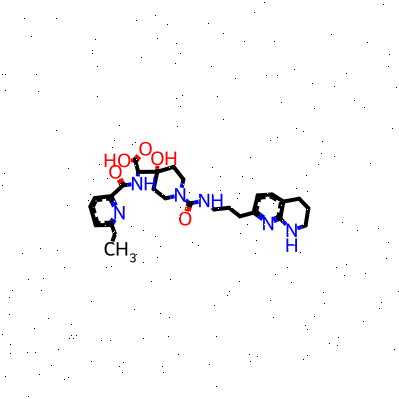 CCc1cccc(C(=O)NC(C(=O)O)C2(O)CCN(C(=O)NCCCc3ccc4c(n3)NCCC4)CC2)n1